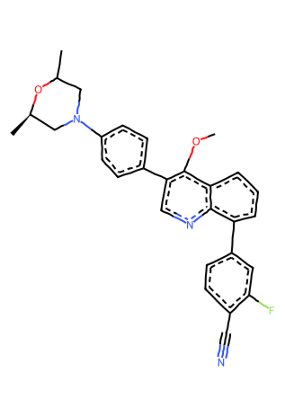 COc1c(-c2ccc(N3CC(C)O[C@H](C)C3)cc2)cnc2c(-c3ccc(C#N)c(F)c3)cccc12